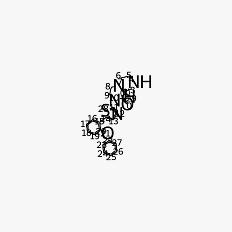 O=C1[C@H]2CNCCN2CCN1c1ncc(-c2ccccc2Oc2ccccc2)s1